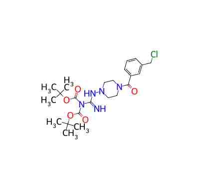 CC(C)(C)OC(=O)N(C(=N)NN1CCN(C(=O)c2cccc(CCl)c2)CC1)C(=O)OC(C)(C)C